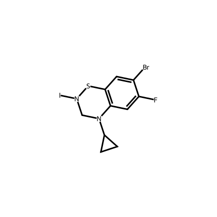 Fc1cc2c(cc1Br)SN(I)CN2C1CC1